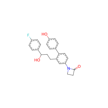 O=C1CCN1c1ccc(-c2ccc(O)cc2)c(CCC(O)c2ccc(F)cc2)c1